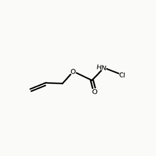 C=CCOC(=O)NCl